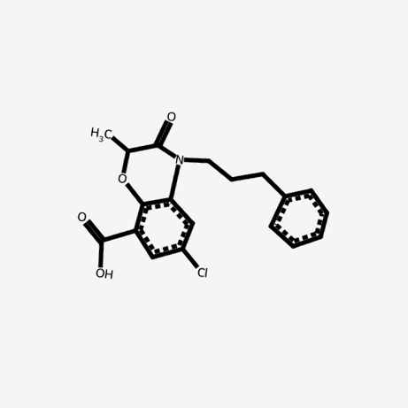 CC1Oc2c(C(=O)O)cc(Cl)cc2N(CCCc2ccccc2)C1=O